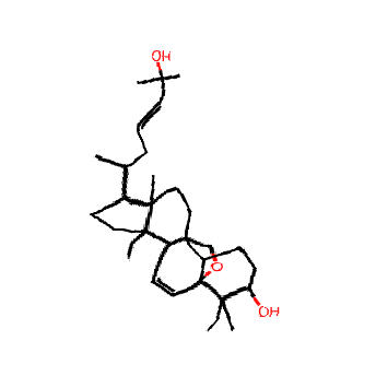 CC(CC=CC(C)(C)O)C1CCC2(C)C3C=CC45OCC3(CCC12C)C4CCC(O)C5(C)C